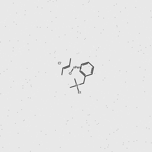 CC=CC.CCCCC[O].CC[N+](C)(C)Cc1ccccc1.[Cl-]